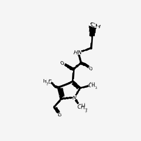 C#CCNC(=O)C(=O)c1c(C)c(C=O)n(C)c1C